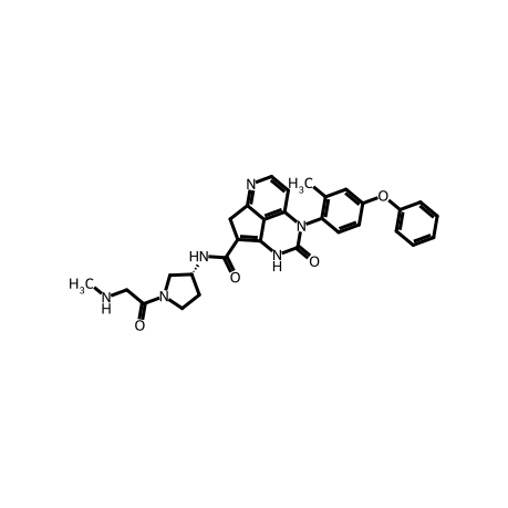 CNCC(=O)N1CC[C@@H](NC(=O)C2=C3NC(=O)N(c4ccc(Oc5ccccc5)cc4C)c4ccnc(c43)C2)C1